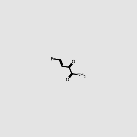 NC(=O)C(=O)C=CF